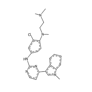 CN(C)CCN(C)c1ccc(Nc2nccc(-c3cn(C)c4ccccc34)n2)cc1Cl